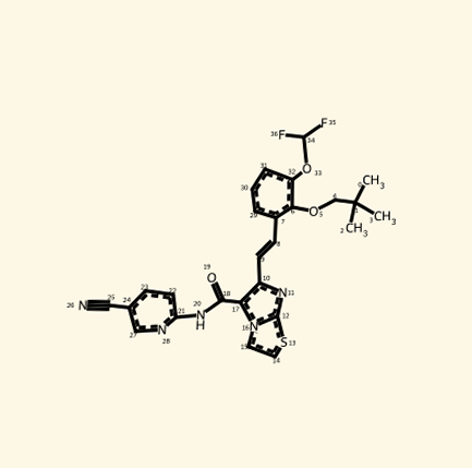 CC(C)(C)COc1c(/C=C/c2nc3sccn3c2C(=O)Nc2ccc(C#N)cn2)cccc1OC(F)F